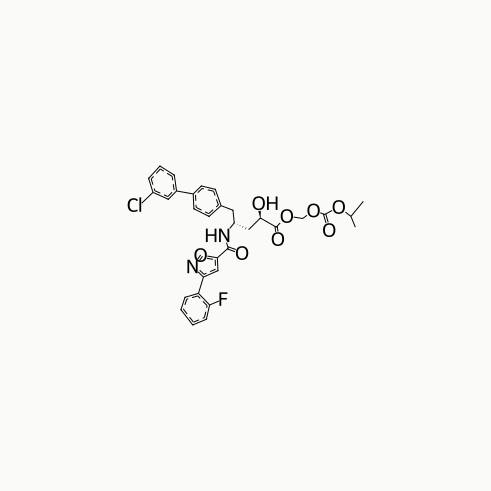 CC(C)OC(=O)OCOC(=O)[C@H](O)C[C@@H](Cc1ccc(-c2cccc(Cl)c2)cc1)NC(=O)c1cc(-c2ccccc2F)no1